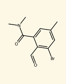 Cc1cc(Br)c(C=O)c(C(=O)N(C)C)c1